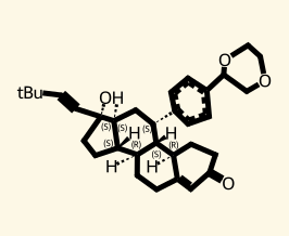 CC(C)(C)C#C[C@]1(O)CC[C@H]2[C@@H]3CCC4=CC(=O)CC[C@@H]4[C@H]3[C@@H](c3ccc(C4COCCO4)cc3)C[C@@]21C